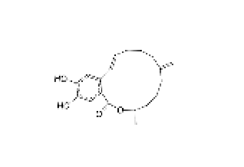 C=C1CCC/C=C/c2cc(O)c(O)cc2C(=O)O[C@@H](C)CCC1